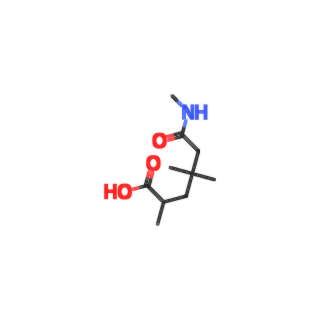 CNC(=O)CC(C)(C)CC(C)C(=O)O